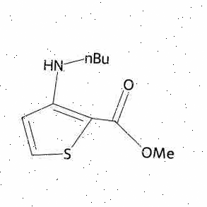 CCCCNc1ccsc1C(=O)OC